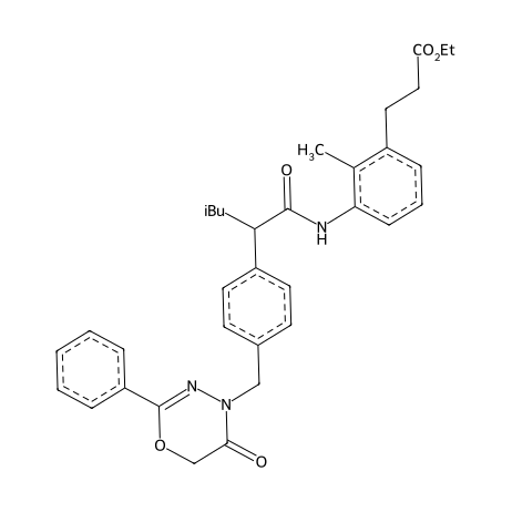 CCOC(=O)CCc1cccc(NC(=O)C(c2ccc(CN3N=C(c4ccccc4)OCC3=O)cc2)C(C)CC)c1C